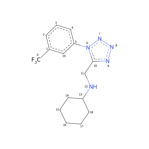 FC(F)(F)c1cccc(-n2nnnc2CNC2CCCCC2)c1